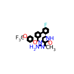 Cc1nc(N)nc2c1C(=O)N[C@@H](c1ccc(F)cc1-c1cccc(COc3ccc(OC(F)(F)F)cc3)c1)C2